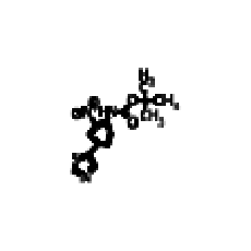 CC(C)(C)OC(=O)Nc1ccc(-c2cncs2)cc1[N+](=O)[O-]